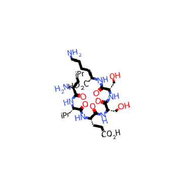 CC(C)C[C@H](N)C(=O)N[C@H](C(=O)N[C@@H](CCC(=O)O)C(=O)N[C@@H](CO)C(=O)N[C@@H](CO)C(=O)N[C@@H](CCCCN)C(=O)O)C(C)C